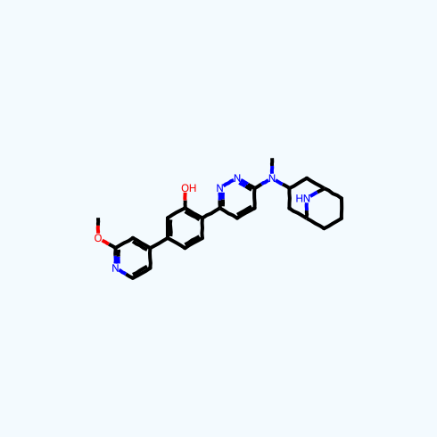 COc1cc(-c2ccc(-c3ccc(N(C)C4CC5CCCC(C4)N5)nn3)c(O)c2)ccn1